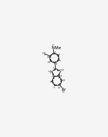 CNc1ccc(-c2nc3ccc(Br)cc3s2)cc1I